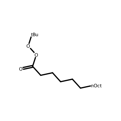 CCCCCCCCCCCCCC(=O)OOC(C)(C)C